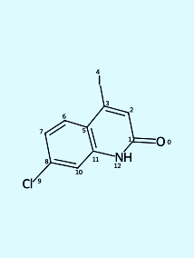 O=c1cc(I)c2ccc(Cl)cc2[nH]1